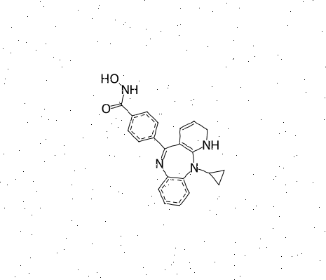 O=C(NO)c1ccc(C2=Nc3ccccc3N(C3CC3)C3=C2C=CCN3)cc1